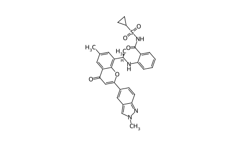 Cc1cc([C@@H](C)Nc2ccccc2C(=O)NS(=O)(=O)C2CC2)c2oc(-c3ccc4nn(C)cc4c3)cc(=O)c2c1